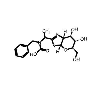 CC(C1=N[C@@H]2[C@@H](O)[C@H](O)[C@@H](CO)O[C@@H]2S1)N(Cc1ccccc1)C(=O)O